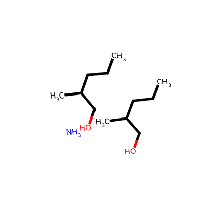 CCCC(C)CO.CCCC(C)CO.N